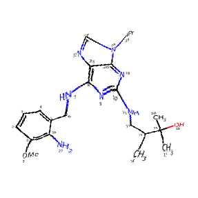 COc1cccc(CNc2nc(NCC(C)C(C)(C)O)nc3c2ncn3C(C)C)c1N